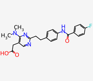 CN(C)c1nc(CCc2ccc(NC(=O)c3ccc(F)cc3)cc2)ncc1CC(=O)O